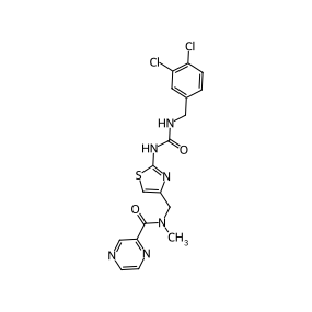 CN(Cc1csc(NC(=O)NCc2ccc(Cl)c(Cl)c2)n1)C(=O)c1cnccn1